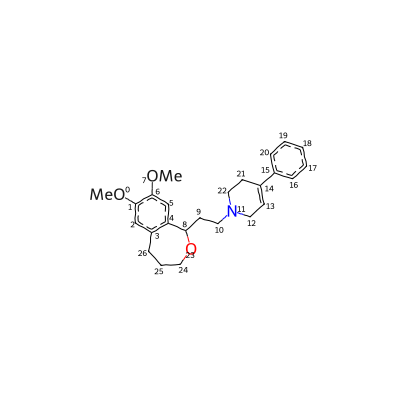 COc1cc2c(cc1OC)C(CCN1CC=C(c3ccccc3)CC1)OCCC2